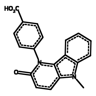 Cn1c2ccccc2c2c1ccc(=O)n2-c1ccc(C(=O)O)cc1